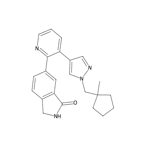 CC1(Cn2cc(-c3cccnc3-c3ccc4c(c3)C(=O)NC4)cn2)CCCC1